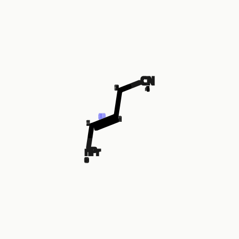 CCC/C=C/CC#N